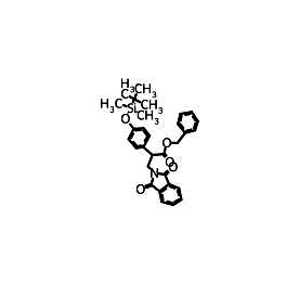 CC(C)(C)[Si](C)(C)Oc1ccc(C(CN2C(=O)c3ccccc3C2=O)C(=O)OCc2ccccc2)cc1